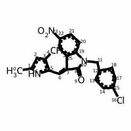 Cc1cc(C)c(C=C2C(=O)N(Cc3ccc(Cl)cc3)c3ccc([N+](=O)[O-])cc32)[nH]1